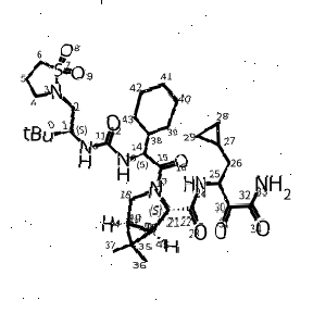 CC(C)(C)[C@@H](CN1CCCS1(=O)=O)NC(=O)N[C@H](C(=O)N1C[C@H]2[C@@H]([C@H]1C(=O)NC(CC1CC1)C(=O)C(N)=O)C2(C)C)C1CCCCC1